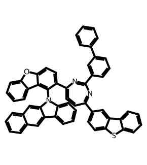 C1=CC(c2ccc3sc4ccccc4c3c2)=NC(c2cccc(-c3ccccc3)c2)=NC=1c1ccc2oc3ccccc3c2c1-n1c2ccccc2c2cc3ccccc3cc21